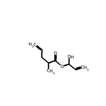 C=CCC(C)C(=O)OC(O)C=C